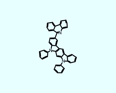 c1ccc(-n2c3ccccc3c3cc4c5cc(-c6nc7ccccc7c7ccccc67)ccc5n(-c5ccccc5)c4cc32)cc1